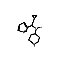 CN(C1CCNCC1)C(c1cccnc1)C1CC1